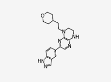 c1cc2[nH]ncc2cc1-c1cnc2c(n1)N(CCC1CCOCC1)CCN2